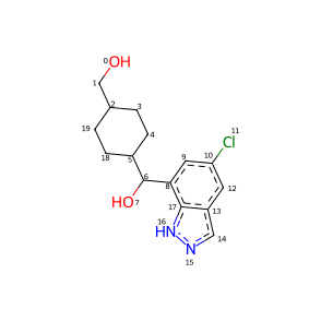 OCC1CCC(C(O)c2cc(Cl)cc3cn[nH]c23)CC1